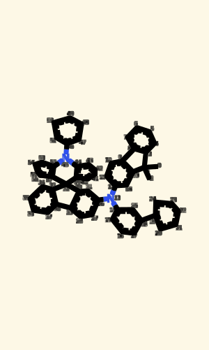 CC1(C)c2ccccc2-c2ccc(N(c3cccc(-c4ccccc4)c3)c3ccc4c(c3)C3(c5ccccc5-4)c4ccccc4N(c4ccccc4)c4ccccc43)cc21